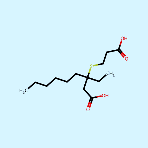 CCCCCCC(CC)(CC(=O)O)SCCC(=O)O